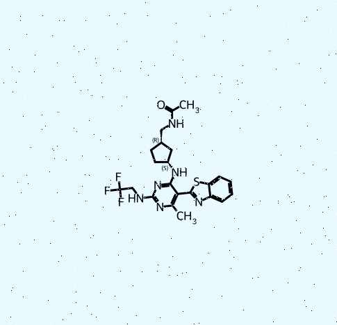 CC(=O)NC[C@@H]1CC[C@H](Nc2nc(NCC(F)(F)F)nc(C)c2-c2nc3ccccc3s2)C1